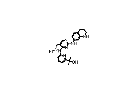 CCN1Cc2cnc(Nc3ccc4c(c3)NCCC4)nc2N1c1cccc(C(C)(C)O)n1